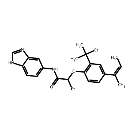 C/C=C(/C)c1ccc(OC(CC)C(=O)Nc2ccc3[nH]cnc3c2)c(C(C)(C)CC)c1